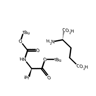 CC(C)[C@@H](NC(=O)OC(C)(C)C)C(=O)OC(C)(C)C.N[C@@H](CCC(=O)O)C(=O)O